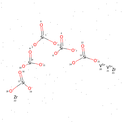 O=[Si]([O-])[O-].O=[Si]([O-])[O-].O=[Si]([O-])[O-].O=[Si]([O-])[O-].O=[Si]([O-])[O-].[V+5].[V+5].[Zr].[Zr]